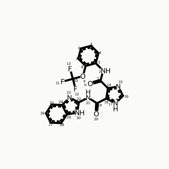 O=C(Nc1ccccc1OC(F)(F)F)c1nc[nH]c1C(=O)Nc1nc2ccccc2[nH]1